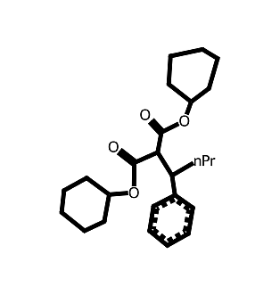 CCCC(c1ccccc1)C(C(=O)OC1CCCCC1)C(=O)OC1CCCCC1